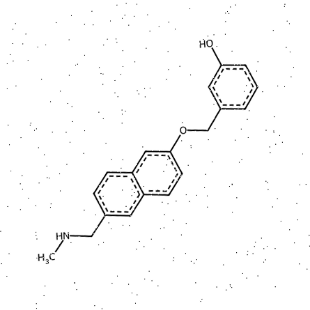 CNCc1ccc2cc(OCc3cccc(O)c3)ccc2c1